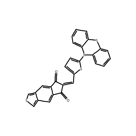 O=C1C(=Cc2ccc(N3c4ccccc4Sc4ccccc43)s2)C(=O)c2cc3cscc3cc21